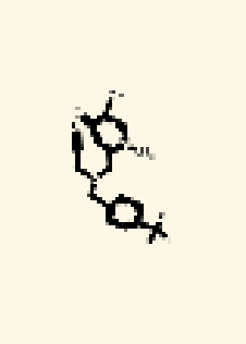 C#CCN(Cc1ccc(C(F)(F)F)cc1)Cc1cc(=O)c(O)cn1C